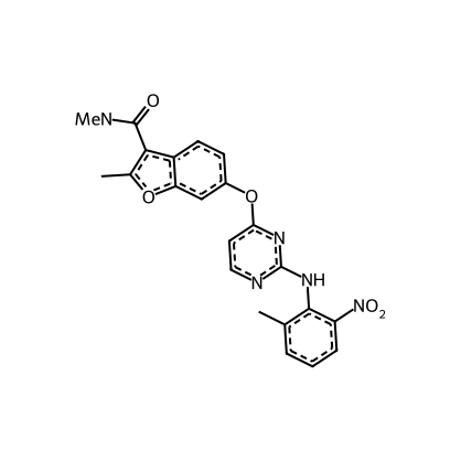 CNC(=O)c1c(C)oc2cc(Oc3ccnc(Nc4c(C)cccc4[N+](=O)[O-])n3)ccc12